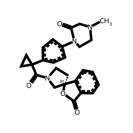 CN1CCN(c2ccc(C3(C(=O)N4CC[C@@]5(C4)OC(=O)c4ccccc45)CC3)cc2)C(=O)C1